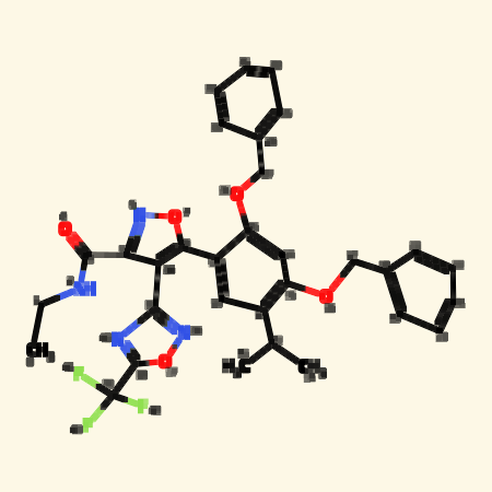 CCNC(=O)c1noc(-c2cc(C(C)C)c(OCc3ccccc3)cc2OCc2ccccc2)c1-c1noc(C(F)(F)F)n1